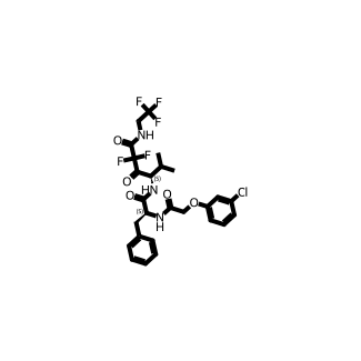 CC(C)[C@H](NC(=O)[C@H](Cc1ccccc1)NC(=O)COc1cccc(Cl)c1)C(=O)C(F)(F)C(=O)NCC(F)(F)F